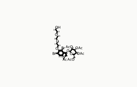 CC(=O)OC[C@H]1O[C@@H](Oc2cn(C(C)=O)c3cc(Br)c(OCCOCCOCCO)c(Br)c23)[C@H](OC(C)=O)[C@@H](OC(C)=O)[C@@H]1OC(C)=O